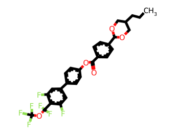 CCCC1COC(c2ccc(C(=O)Oc3ccc(-c4cc(F)c(C(F)(F)OC(F)(F)F)c(F)c4)cc3)cc2)OC1